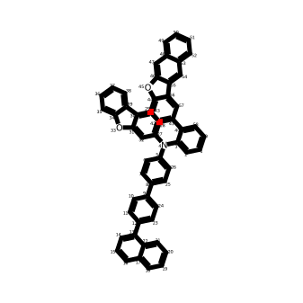 c1ccc(N(c2ccc(-c3ccc(-c4cccc5ccccc45)cc3)cc2)c2ccc3c(c2)oc2ccccc23)c(-c2ccc3oc4cc5ccccc5cc4c3c2)c1